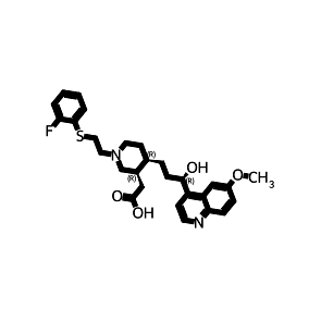 COc1ccc2nccc([C@H](O)CC[C@@H]3CCN(CCSc4ccccc4F)C[C@@H]3CC(=O)O)c2c1